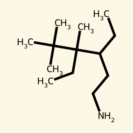 CCC(CCN)C(C)(CC)C(C)(C)C